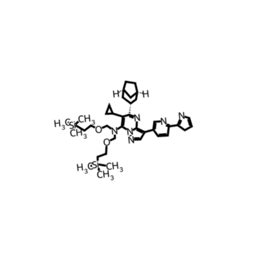 C[Si](C)(C)CCOCN(COCC[Si](C)(C)C)c1c(C2CC2)c([C@H]2C[C@@H]3CC[C@@H](C3)C2)nc2c(-c3ccc(C4=NC=CC4)nc3)cnn12